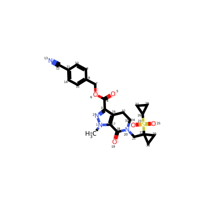 Cn1nc(C(=O)OCc2ccc(C#N)cc2)c2c1C(=O)N(CC1(S(=O)(=O)C3CC3)CC1)CC2